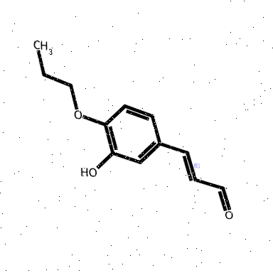 CCCOc1ccc(/C=C/[C]=O)cc1O